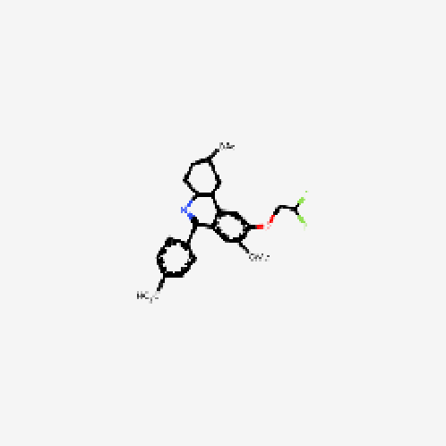 COc1cc2c(cc1OCC(F)F)C1CC(OC(C)=O)CCC1N=C2c1ccc(C(=O)O)cc1